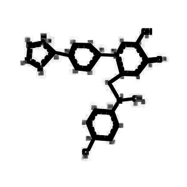 CN(Cc1cc(=O)c(O)cn1-c1ccc(-c2nnn[nH]2)cc1)c1ccc(Cl)cc1